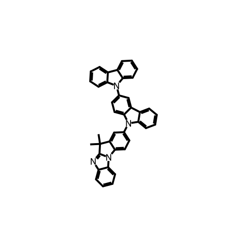 CC1(C)c2cc(-n3c4ccccc4c4cc(-n5c6ccccc6c6ccccc65)ccc43)ccc2-n2c1nc1ccccc12